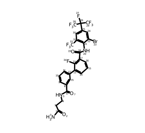 NC(=O)CCNC(=O)c1cccc(-c2cccc(C(=O)Nc3c(Br)cc(C(F)(C(F)(F)F)C(F)(F)F)cc3C(F)(F)F)c2F)c1